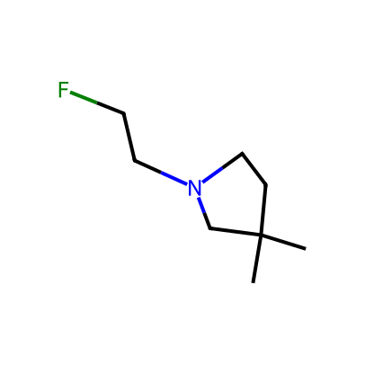 CC1(C)CCN(CCF)C1